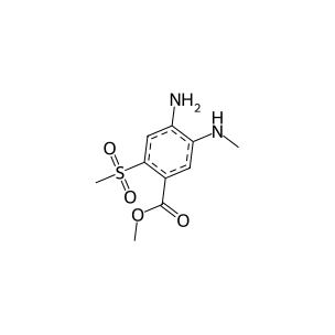 CNc1cc(C(=O)OC)c(S(C)(=O)=O)cc1N